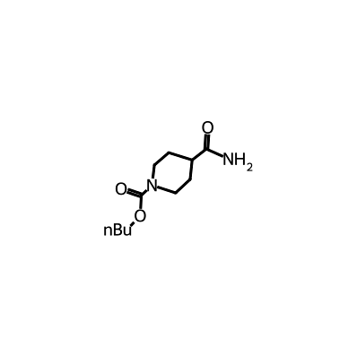 CCCCOC(=O)N1CCC(C(N)=O)CC1